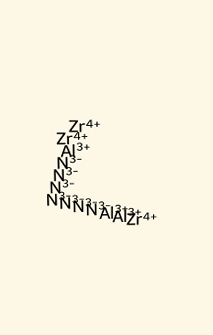 [Al+3].[Al+3].[Al+3].[N-3].[N-3].[N-3].[N-3].[N-3].[N-3].[N-3].[Zr+4].[Zr+4].[Zr+4]